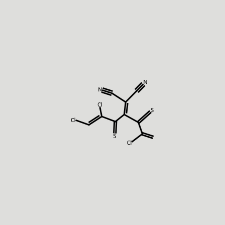 C=C(Cl)C(=S)C(C(=S)C(Cl)=CCl)=C(C#N)C#N